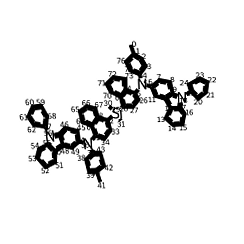 Cc1ccc(N(c2ccc3c(c2)c2ccccc2n3-c2ccccc2)c2ccc([Si](C)(C)c3ccc(N(c4ccc(C)cc4)c4ccc5c(c4)c4ccccc4n5-c4ccccc4)c4ccccc34)c3ccccc23)cc1